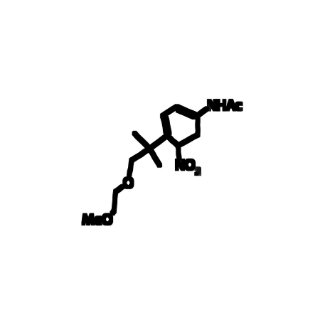 COCCOCC(C)(C)C1=CC=C(NC(C)=O)CC1[N+](=O)[O-]